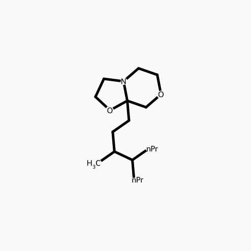 CCCC(CCC)C(C)CCC12COCCN1CCO2